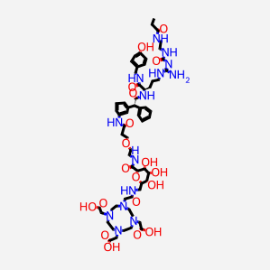 CCC(=O)NCCNC(=O)/N=C(/N)NCCC[C@@H](NC(=O)[C@H](c1ccccc1)c1cccc(NC(=O)CCOCCNC(=O)C2OC(CNC(=O)CN3CCN(CC(=O)O)CCN(CC(=O)O)CCN(CC(=O)O)CC3)C(O)C(O)C2O)c1)C(=O)NCc1ccc(O)cc1